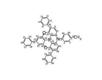 Cc1ccc(N2c3ccc(-c4ccccc4)c4c3B3c5c(cc(-c6ccccc6)cc5Oc5c(-c6ccccc6)ccc2c53)O4)cc1